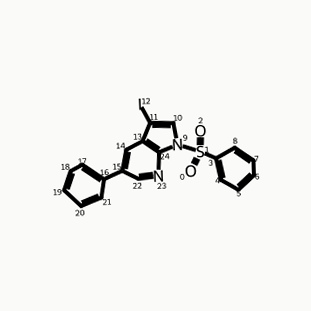 O=S(=O)(c1ccccc1)n1cc(I)c2cc(-c3ccccc3)cnc21